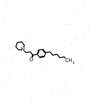 CCCCCCc1ccc(C(=O)CCN2CCCCC2)cc1